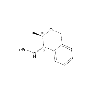 CCCN[C@H]1c2ccccc2CO[C@@H]1C